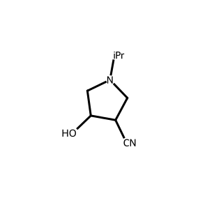 CC(C)N1CC(O)C(C#N)C1